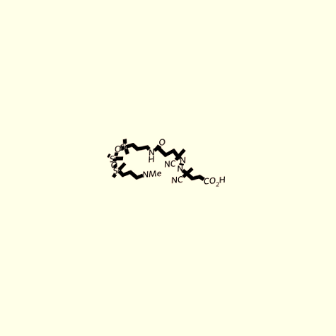 CNCCC[Si](C)(C)O[Si](C)(C)O[Si](C)(C)CCCNC(=O)CCC(C)(C#N)N=NC(C)(C#N)CCC(=O)O